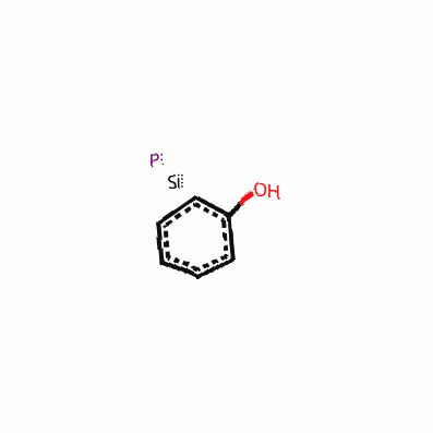 Oc1ccccc1.[P].[Si]